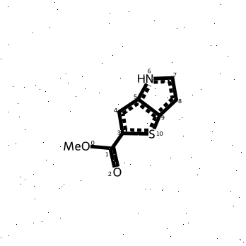 COC(=O)c1cc2[nH]ccc2s1